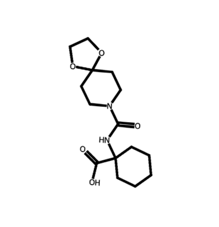 O=C(NC1(C(=O)O)CCCCC1)N1CCC2(CC1)OCCO2